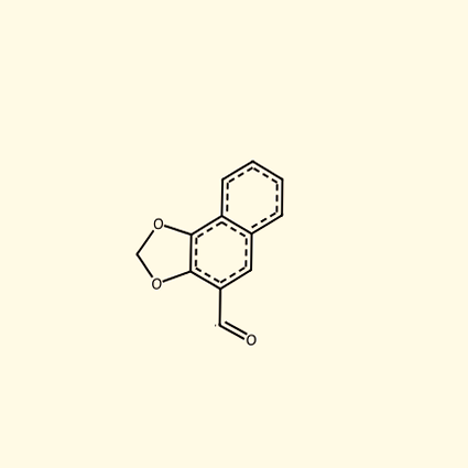 O=[C]c1cc2ccccc2c2c1OCO2